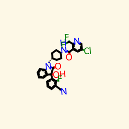 N#Cc1cccc(C2(O)C(=O)N(C[C@H]3CC[C@H](NC(=O)c4cc(Cl)cnc4C(F)F)CC3)c3ccccc32)c1F